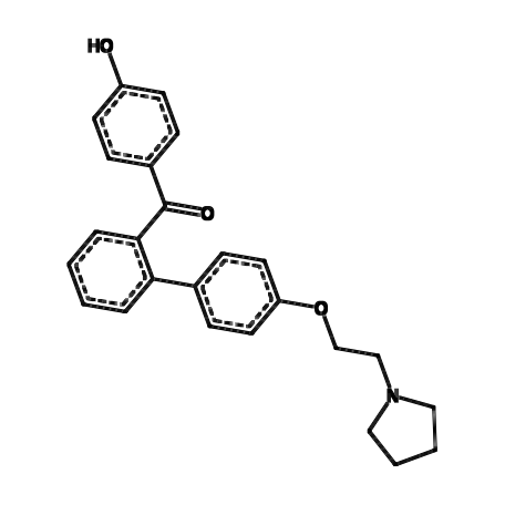 O=C(c1ccc(O)cc1)c1ccccc1-c1ccc(OCCN2CCCC2)cc1